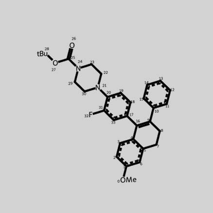 COc1ccc2c(c1)CCC(c1ccccc1)=C2c1ccc(N2CCN(C(=O)OC(C)(C)C)CC2)c(F)c1